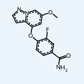 COc1cc(Oc2ccc(C(N)=O)cc2F)c2ccnn2c1